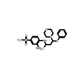 CC(CC(Sc1ccccc1)N1CCOCC1)Nc1ccc(S(N)(=O)=O)cc1[N+](=O)[O-]